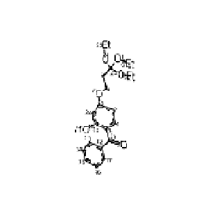 CCOC(CCOc1ccc(C(=O)c2ccccc2)c(O)c1)(OCC)OCC